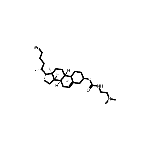 CC(C)CCC[C@@H](C)[C@H]1CC[C@H]2[C@@H]3CC=C4CC(OC(=O)NCCN(C)C)CC[C@]4(C)[C@H]3CC[C@]12C